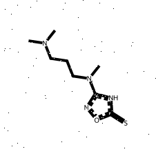 CN(C)CCCN(C)c1noc(=S)[nH]1